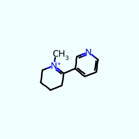 C[N+]1=C(c2cccnc2)CCCC1